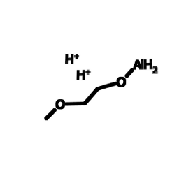 COCC[O][AlH2].[H+].[H+]